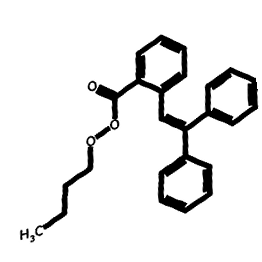 CCCCOOC(=O)c1ccccc1C=C(c1ccccc1)c1ccccc1